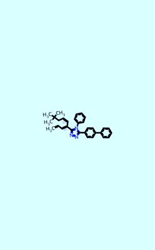 C=C/C=C(\C=C/CC(C)(C)C)c1nnc(-c2ccc(-c3ccccc3)cc2)n1-c1ccccc1